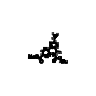 COC(=O)c1cnc(-n2nc(C3CC3)nc2C(C)NC(=O)OC(C)(C)C)cn1